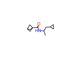 CC(CC1CC1)NC(=O)C12CC(C1)C2